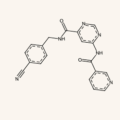 N#Cc1ccc(CNC(=O)c2cc(NC(=O)c3cccnc3)ncn2)cc1